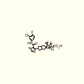 Cn1cnc(C2CC3CC(O)(C4(S(=O)(=O)NC(=O)O)CC4)CC3C2)c1C(=O)Nc1ccc(F)c(Cl)c1